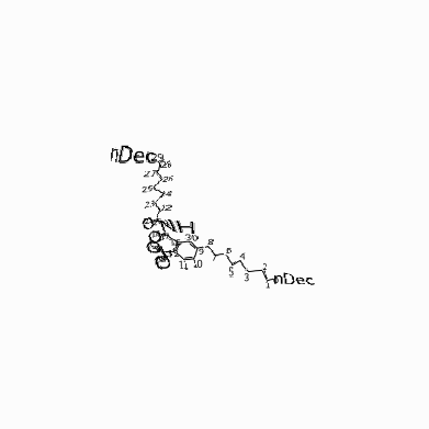 CCCCCCCCCC/C=C/CCCCCCc1ccc(I(=O)=O)c(C(=O)NC(=O)CCCCCCCCCCCCCCCCC)c1